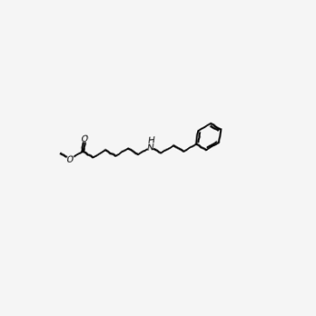 COC(=O)CCCCCNCCCc1ccccc1